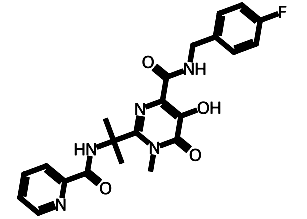 Cn1c(C(C)(C)NC(=O)c2ccccn2)nc(C(=O)NCc2ccc(F)cc2)c(O)c1=O